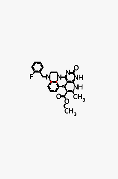 CCOC(=O)C1=C(C)Nc2[nH]c(=O)nc(N3CCN(Cc4ccccc4F)CC3)c2[C@@H]1c1ccccc1